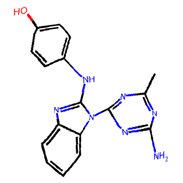 Cc1nc(N)nc(-n2c(Nc3ccc(O)cc3)nc3ccccc32)n1